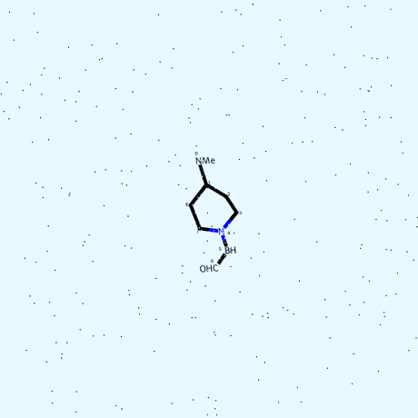 CNC1CCN(BC=O)CC1